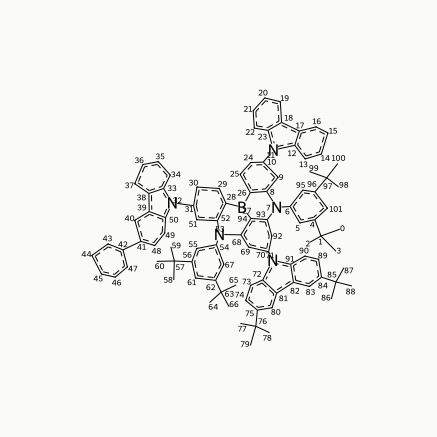 CC(C)(C)c1cc(N2c3cc(-n4c5ccccc5c5ccccc54)ccc3B3c4ccc(-n5c6ccccc6c6cc(-c7ccccc7)ccc65)cc4N(c4cc(C(C)(C)C)cc(C(C)(C)C)c4)c4cc(-n5c6ccc(C(C)(C)C)cc6c6cc(C(C)(C)C)ccc65)cc2c43)cc(C(C)(C)C)c1